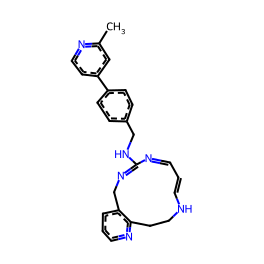 Cc1cc(-c2ccc(CNC3=N/Cc4cccnc4CCN/C=C/C=N\3)cc2)ccn1